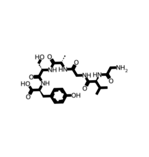 CC(C)[C@H](NC(=O)CN)C(=O)NCC(=O)N[C@@H](C)C(=O)N[C@@H](CO)C(=O)N[C@@H](Cc1ccc(O)cc1)C(=O)O